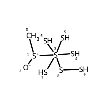 C[S+]([O-])S(S)(S)(S)(S)SS